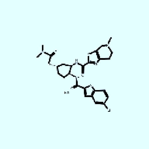 CN1CCc2nc(C(=O)N[C@@H]3C[C@@H](CC(=O)N(C)C)CC[C@@H]3NC(=O)c3cc4cc(Cl)ccc4[nH]3)sc2C1.Cl